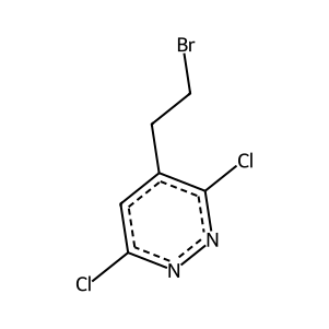 Clc1cc(CCBr)c(Cl)nn1